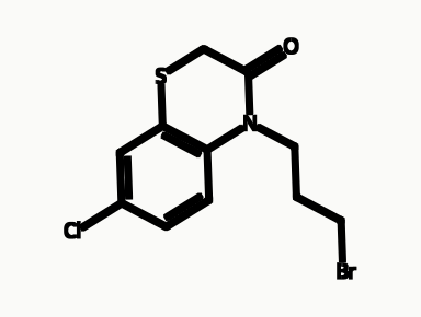 O=C1CSc2cc(Cl)ccc2N1CCCBr